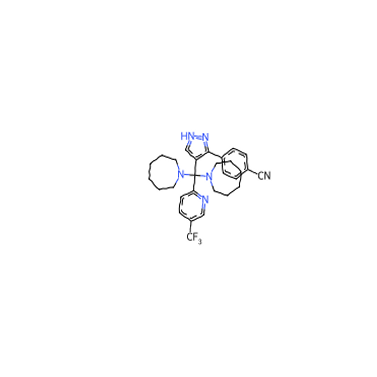 N#Cc1ccc(-c2n[nH]cc2C(c2ccc(C(F)(F)F)cn2)(N2CCCCCC2)N2CCCCCC2)cc1